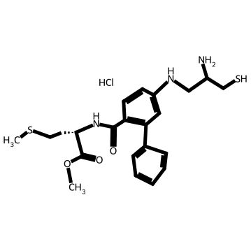 COC(=O)[C@H](CCSC)NC(=O)c1ccc(NCC(N)CS)cc1-c1ccccc1.Cl